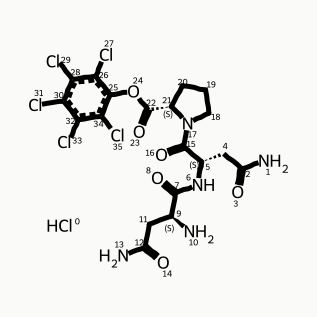 Cl.NC(=O)C[C@H](NC(=O)[C@@H](N)CC(N)=O)C(=O)N1CCC[C@H]1C(=O)Oc1c(Cl)c(Cl)c(Cl)c(Cl)c1Cl